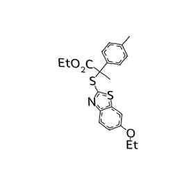 CCOC(=O)C(C)(Sc1nc2ccc(OCC)cc2s1)c1ccc(C)cc1